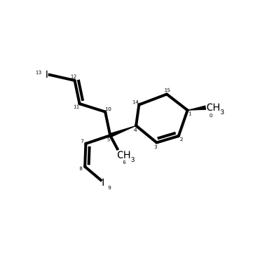 C[C@H]1C=C[C@@H](C(C)(/C=C\I)C/C=C/I)CC1